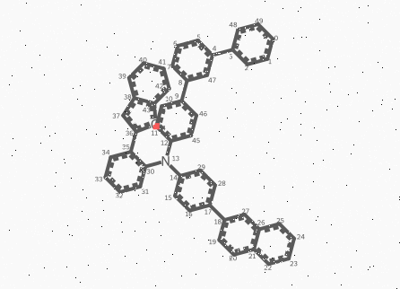 c1ccc(-c2cccc(-c3ccc(N(c4ccc(-c5ccc6ccccc6c5)cc4)c4ccccc4-c4cc5ccccc5o4)cc3)c2)cc1